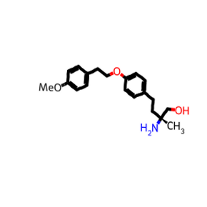 COc1ccc(CCOc2ccc(CC[C@@](C)(N)CO)cc2)cc1